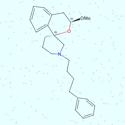 CO[C@@H]1Cc2ccccc2[C@@]2(CCCN(CCCCc3ccccc3)C2)O1